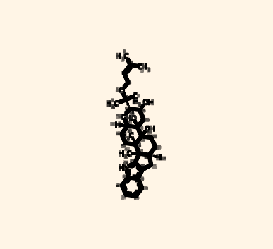 CC(C)=CCOC(C)(C)[C@H]1O[C@H]2CC[C@@]3(C)[C@@](O)(CC[C@H]4Cc5c([nH]c6ccccc56)[C@@]43C)[C@@]2(O)C[C@@H]1O